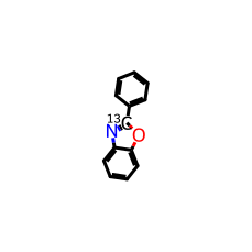 c1ccc(-[13c]2nc3ccccc3o2)cc1